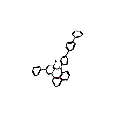 Fc1cc(-c2ccccc2)cc(-c2ccccc2)c1N(c1ccccc1)c1ccc(-c2ccc(-c3ccccc3)cc2)cc1